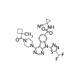 CC1(C(=O)N2CCN(c3ncnc4c3c3ccc(S(=O)(=O)NC5(C#N)CC5)cc3n4-c3nnc(C(F)F)s3)CC2)CCC1